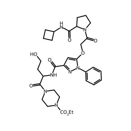 CCOC(=O)N1CCN(C(=O)C(CCO)NC(=O)c2cc(OCC(=O)N3CCCC3C(=O)NC3CCC3)n(-c3ccccc3)n2)CC1